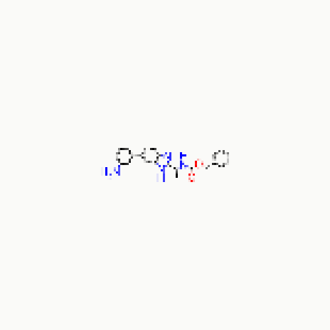 C[C@H](NC(=O)OCc1ccccc1)c1nc2ccc(-c3cccc(N)c3)cc2[nH]1